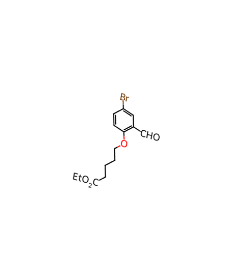 CCOC(=O)CCCCOc1ccc(Br)cc1C=O